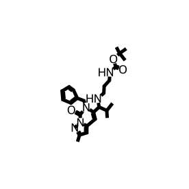 Cc1cc2cc(C(NCCCNC(=O)OC(C)(C)C)C(C)C)n(Cc3ccccc3)c(=O)n2n1